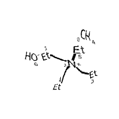 C.CC[N+](CC)(CC)CC.[OH-]